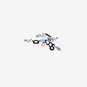 CCC(C)n1cc2c3c(cccc31)C1C[C@@H](C(=O)NC3CCC(C)C3)CN(C)[C@@H]1C2.O=C(O)/C=C\C(=O)O